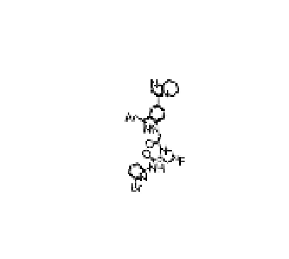 CC(=O)c1nn(CC(=O)N2C[C@H](F)C[C@H]2C(=O)Nc2cccc(Br)n2)c2ccc(-c3cnc4n3CCCC4)cc12